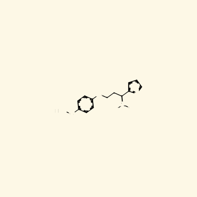 COc1ccc(OCCC(c2cccs2)N(C)C)cc1